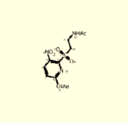 COc1ccc([N+](=O)[O-])c(S(=O)(=O)CCNC(C)=O)n1